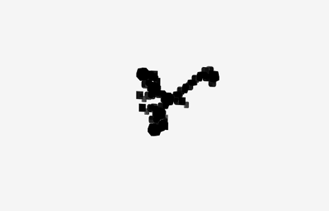 COc1cc2c(cc1OCc1cc(COc3cc4c(cc3OC)C(=O)N3c5ccccc5C[C@H]3C=N4)cc(N(C)CCOCCOCCOCCC(=O)ON3C(=O)CCC3=O)c1)N=C[C@@H]1Cc3ccccc3N1C2=O